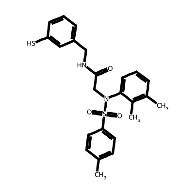 Cc1ccc(S(=O)(=O)N(CC(=O)NCc2cccc(S)c2)c2cccc(C)c2C)cc1